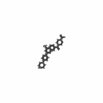 C=C(C)N1CCN(C(=C)c2ccc3c(Cl)cc(-c4ccc(N5CCNCC5)cc4)nc3c2)CC1